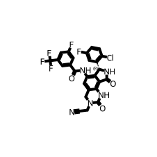 N#CCN1Cc2cc(NC(=O)c3cc(F)cc(C(F)(F)F)c3)c3c(c2NC1=O)C(=O)N[C@H]3c1cc(F)ccc1Cl